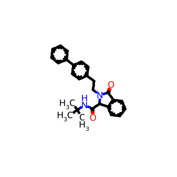 CC(C)(C)NC(=O)C1c2ccccc2C(=O)N1CCc1ccc(-c2ccccc2)cc1